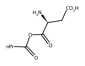 CCCC(=O)OC(=O)[C@@H](N)CC(=O)O